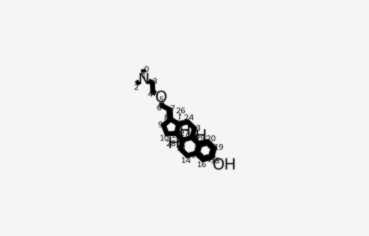 CN(C)CCOCC=C1CC[C@H]2[C@@H]3CCc4cc(O)ccc4[C@H]3CC[C@]12C